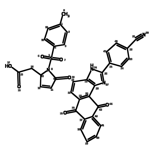 Cc1ccc(S(=O)(=O)N2C(=O)C=CC2CC(=O)O)cc1.N#Cc1ccc(-c2nc3c4c(ccc3[nH]2)C(=O)c2ccccc2C4=O)cc1